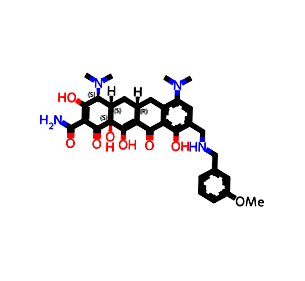 COc1cccc(CNCc2cc(N(C)C)c3c(c2O)C(=O)C2=C(O)[C@]4(O)C(=O)C(C(N)=O)=C(O)[C@@H](N(C)C)[C@@H]4C[C@@H]2C3)c1